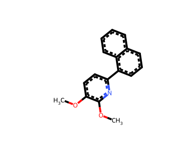 COc1ccc(-c2cccc3ccccc23)nc1OC